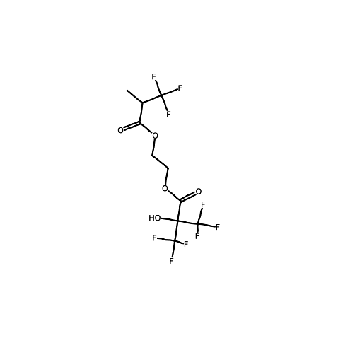 CC(C(=O)OCCOC(=O)C(O)(C(F)(F)F)C(F)(F)F)C(F)(F)F